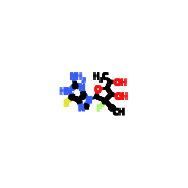 C#CC1(F)C(O)[C@@H]([C@@H](C)O)O[C@H]1n1cnc2c(=S)[nH]c(N)nc21